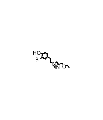 CCOCc1cn(CCc2ccc(O)c(Br)c2)nn1